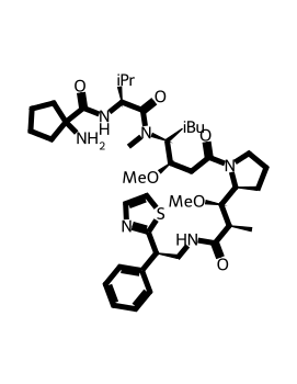 CC[C@H](C)[C@@H]([C@@H](CC(=O)N1CCC[C@H]1[C@H](OC)[C@@H](C)C(=O)NC[C@@H](c1ccccc1)c1nccs1)OC)N(C)C(=O)[C@@H](NC(=O)C1(N)CCCC1)C(C)C